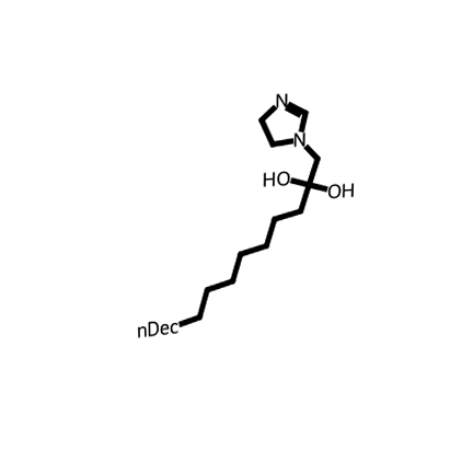 CCCCCCCCCCCCCCCCCC(O)(O)CN1C=NCC1